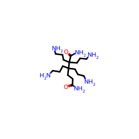 NCCCC(CCCN)(CCC(N)=O)C(CCCN)(CCCN)C(N)=O